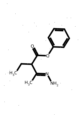 CCC(C(=O)Oc1ccccc1)C(C)=NN